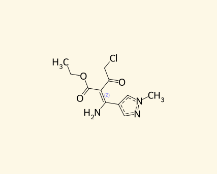 CCOC(=O)/C(C(=O)CCl)=C(\N)c1cnn(C)c1